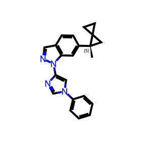 C[C@]1(c2ccc3cnn(-c4cn(-c5ccccc5)cn4)c3c2)CC12CC2